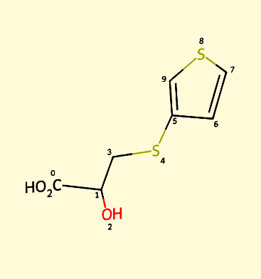 O=C(O)C(O)CSc1ccsc1